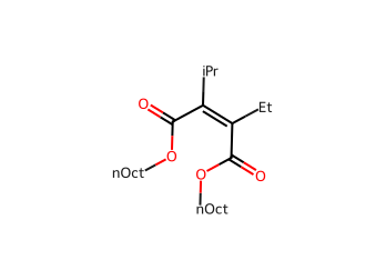 CCCCCCCCOC(=O)C(CC)=C(C(=O)OCCCCCCCC)C(C)C